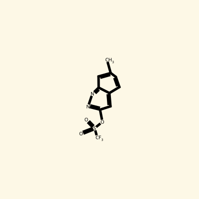 Cc1ccc2cc(OS(=O)(=O)C(F)(F)F)nnc2c1